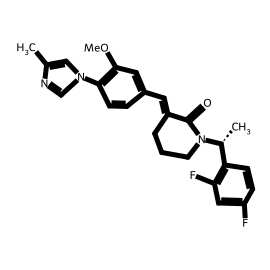 COc1cc(/C=C2\CCCN([C@H](C)c3ccc(F)cc3F)C2=O)ccc1-n1cnc(C)c1